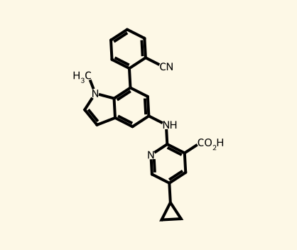 Cn1ccc2cc(Nc3ncc(C4CC4)cc3C(=O)O)cc(-c3ccccc3C#N)c21